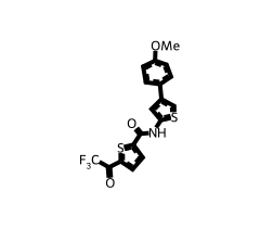 COc1ccc(-c2csc(NC(=O)c3ccc(C(=O)C(F)(F)F)s3)c2)cc1